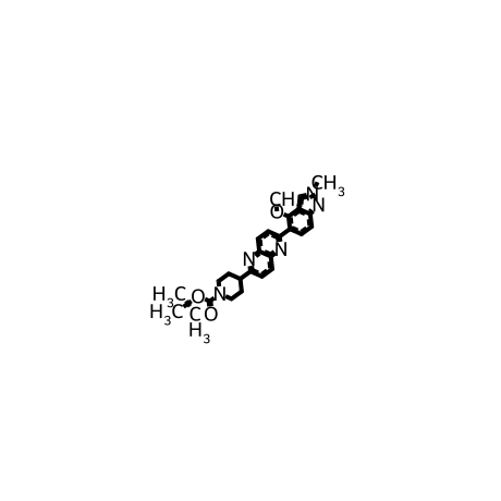 COc1c(-c2ccc3nc(C4CCN(C(=O)OC(C)(C)C)CC4)ccc3n2)ccc2nn(C)cc12